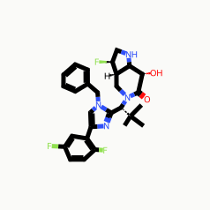 CC(C)(C)[C@H](c1nc(-c2cc(F)ccc2F)cn1Cc1ccccc1)N1C[C@@H]2C(NC[C@@H]2F)[C@H](O)C1=O